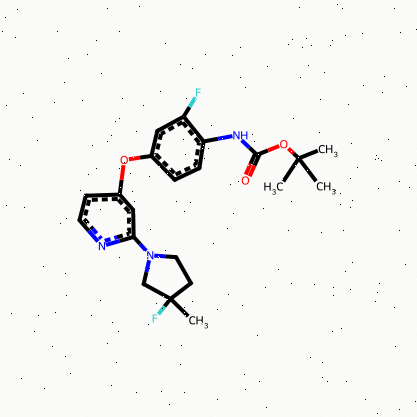 CC1(F)CCN(c2cc(Oc3ccc(NC(=O)OC(C)(C)C)c(F)c3)ccn2)C1